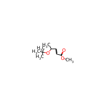 COC(=O)C=CC(C)OC(C)(C)C